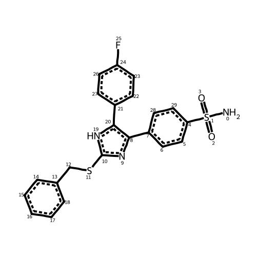 NS(=O)(=O)c1ccc(-c2nc(SCc3ccccc3)[nH]c2-c2ccc(F)cc2)cc1